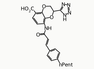 CCCCCc1ccc(C=CC(=O)Nc2ccc(C(=O)O)c3c2OC(c2nnn[nH]2)CO3)cc1